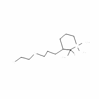 CCCC1(OC)C(CCCNCCN)CCC[Si]1(OC)OC